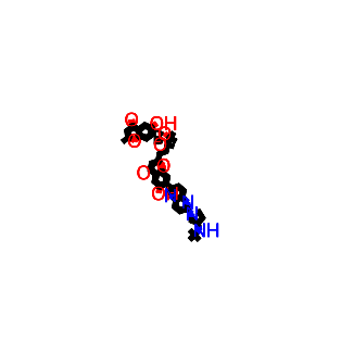 Cc1cc(=O)c2cc(O)c(B3OC(C)(C)C(C)(CCc4cc(=O)c5cc(O)c(-c6ccc7nc(N8CCC(NC(C)(C)C)C8)ccc7n6)cc5o4)O3)cc2o1